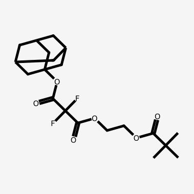 CC(C)(C)C(=O)OCCOC(=O)C(F)(F)C(=O)OC12CC3CC(CC(C3)C1)C2